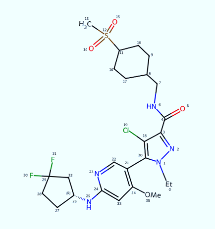 CCn1nc(C(=O)NCC2CCC(S(C)(=O)=O)CC2)c(Cl)c1-c1cnc(N[C@@H]2CCC(F)(F)C2)cc1OC